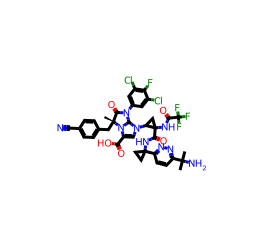 CC(C)(N)c1ccc(C2(NC(=O)C3(NC(=O)C(F)(F)F)CC3N3C=C(C(=O)O)N4C3N(c3cc(Cl)c(F)c(Cl)c3)C(=O)[C@@]4(C)Cc3ccc(C#N)cc3)CC2)nn1